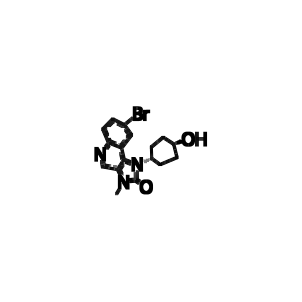 Cn1c(=O)n([C@H]2CC[C@H](O)CC2)c2c3cc(Br)ccc3ncc21